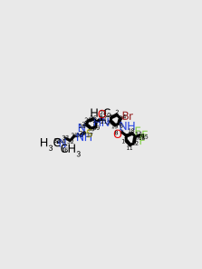 Cc1cc(Br)c(NC(=O)c2cccc(C(F)(F)F)c2)cc1NC(=O)c1ccc2nc(NCCCN(C)C)sc2c1